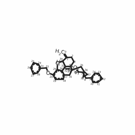 C=C1CC[C@@]2(OCCCc3ccccc3)[C@H]3Cc4ccc(OCc5ccccc5)c5c4[C@@]2(CCN3CC2CC2)[C@H]1O5